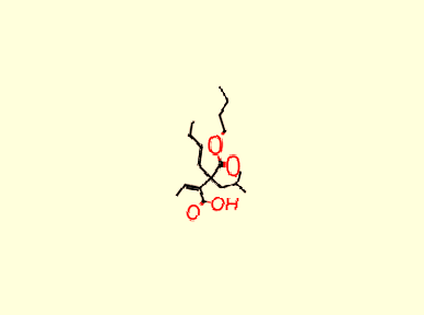 CC=C(C(=O)O)C(CCCC)(CC(C)C)C(=O)OCCCC